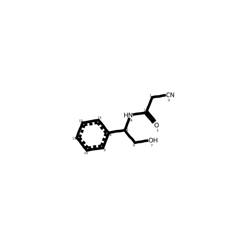 N#CCC(=O)NC(CO)c1ccccc1